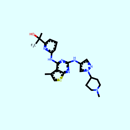 Cc1csc2nc(Nc3cnn(C4CCN(C)CC4)c3)nc(Nc3cccc(C(C)(O)C(F)(F)F)n3)c12